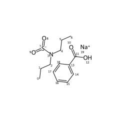 CCCN(CCC)[S-](=O)=O.O=C(O)c1ccccc1.[Na+]